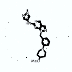 COC1CCN(c2cccc(Cn3ncc4cnc(Nc5cnn(C)c5)nc43)c2)CC1